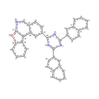 c1ccc2cc(-c3nc(-c4ccc5ccccc5c4)nc(-c4ccc5cnc6oc7ccccc7c6c5c4)n3)ccc2c1